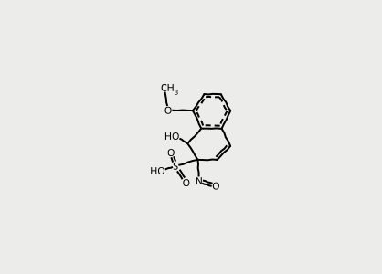 COc1cccc2c1C(O)C(N=O)(S(=O)(=O)O)C=C2